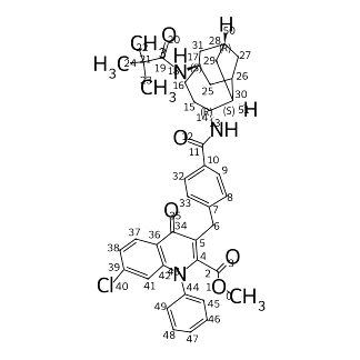 COC(=O)c1c(Cc2ccc(C(=O)N[C@@H]3CC[C@@]4(NC(=O)C(C)(C)C)CC5C[C@H](C[C@@H]53)C4)cc2)c(=O)c2ccc(Cl)cc2n1-c1ccccc1